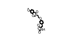 COc1ccc2c(c1)OCN(CCOc1ccc(C=C3NC(=O)SC3=O)cc1)C2=O